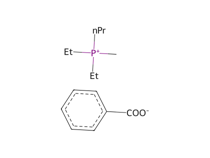 CCC[P+](C)(CC)CC.O=C([O-])c1ccccc1